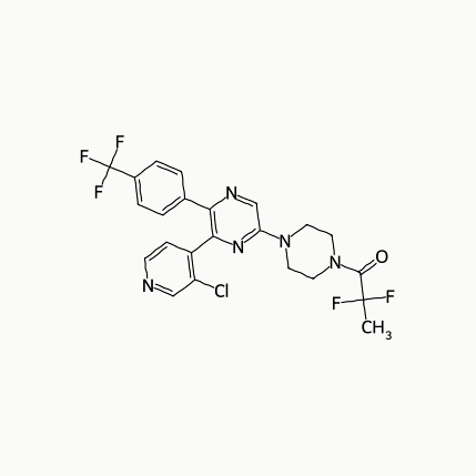 CC(F)(F)C(=O)N1CCN(c2cnc(-c3ccc(C(F)(F)F)cc3)c(-c3ccncc3Cl)n2)CC1